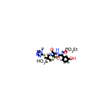 CCOC(=O)ON=C(C(=O)NC1C(=O)N2CC(CSc3nnnn3C)(C(=O)O)CS[C@H]12)c1cccc(O)c1